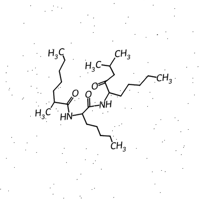 CCCCCC(C)C(=O)NC(CCCCC)C(=O)NC(CCCCC)C(=O)CC(C)C